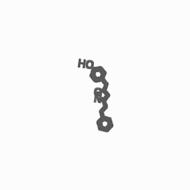 Oc1ccc(CC2CC(CCc3ccccc3)=NO2)cc1